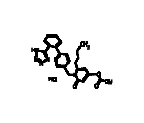 CCCCc1cc(OC(=O)O)cc(=O)n1Cc1ccc(-c2ccccc2-c2nnn[nH]2)nc1.Cl